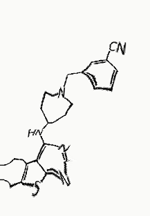 N#Cc1cccc(CN2CCC(Nc3ncnc4sc5c(c34)CCCC5)CC2)c1